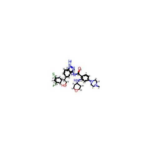 CN1CCN(c2ccc(C(=O)Nc3n[nH]c4ccc(C(CO)c5cc(F)cc(F)c5)cc34)c(NC3CCOCC3)c2)CC1